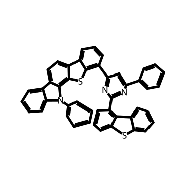 c1ccc(-c2cc(-c3cccc4c3sc3c4ccc4c5ccccc5n(-c5ccccc5)c43)nc(-c3cccc4sc5ccccc5c34)n2)cc1